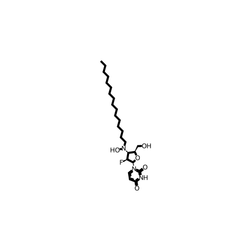 CCCCCCCCCCCCCCCCN(O)[C@H]1[C@H](F)[C@@H](n2ccc(=O)[nH]c2=O)O[C@@H]1CO